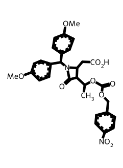 COc1ccc(C(c2ccc(OC)cc2)N2C(=O)C(C(C)OC(=O)OCc3ccc([N+](=O)[O-])cc3)C2CC(=O)O)cc1